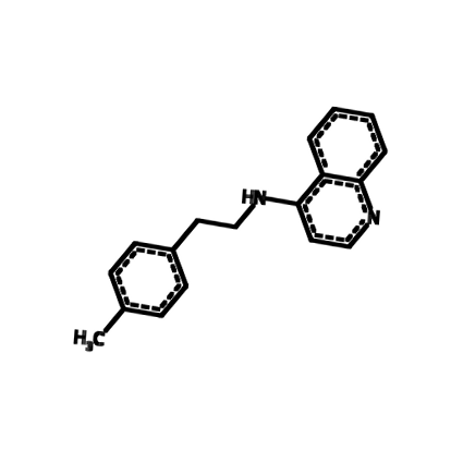 Cc1ccc(CCNc2ccnc3ccccc23)cc1